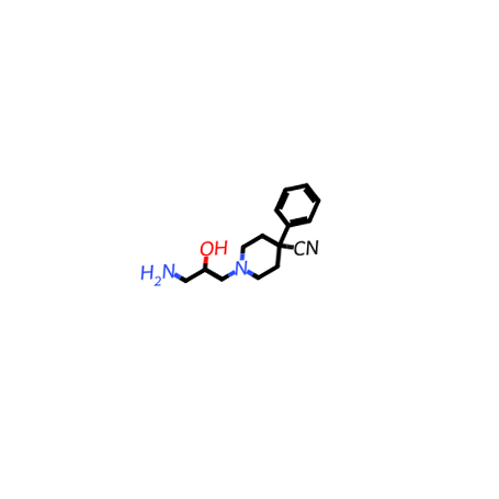 N#CC1(c2ccccc2)CCN(CC(O)CN)CC1